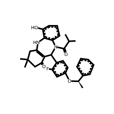 CC(C)C(=O)N1c2cccc(O)c2NC2=C(C(=O)CC(C)(C)C2)C1c1ccc(O[C@H](C)c2ccccc2)cc1F